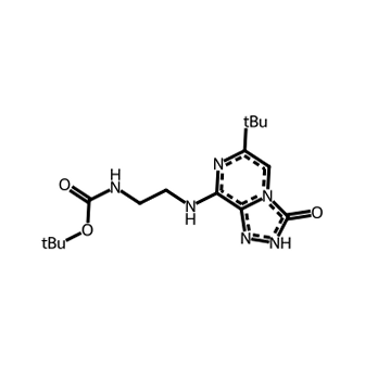 CC(C)(C)OC(=O)NCCNc1nc(C(C)(C)C)cn2c(=O)[nH]nc12